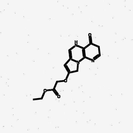 CCOC(=O)COC1=CC2=CNC3=C(N=CCC3=O)N2C1